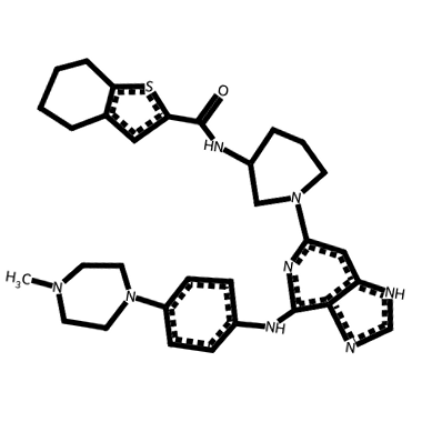 CN1CCN(c2ccc(Nc3nc(N4CCCC(NC(=O)c5cc6c(s5)CCCC6)C4)cc4[nH]cnc34)cc2)CC1